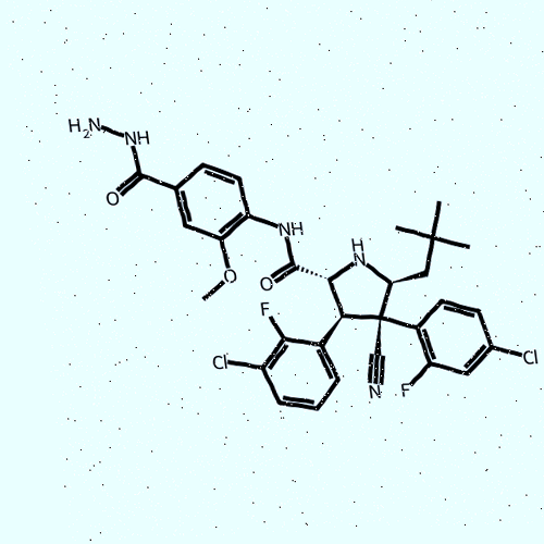 COc1cc(C(=O)NN)ccc1NC(=O)[C@@H]1N[C@@H](CC(C)(C)C)[C@](C#N)(c2ccc(Cl)cc2F)[C@H]1c1cccc(Cl)c1F